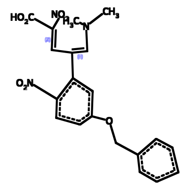 CN(C)/C=C(\C=C(\C(=O)O)[N+](=O)[O-])c1cc(OCc2ccccc2)ccc1[N+](=O)[O-]